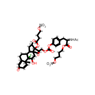 CC(=O)NC(Cc1ccc(OC(=O)OCC(=O)C2(OC(=O)CCCO[N+](=O)[O-])C(C)CC3C4CCC5=CC(=O)C=CC5(C)C4(F)C(O)CC32C)cc1)C(=O)OCCCCO[N+](=O)[O-]